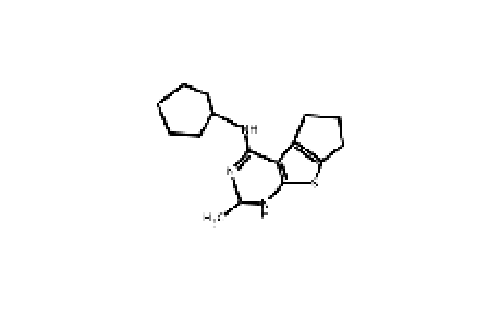 CC1N=C(NC2CCCCC2)c2c(sc3c2CCC3)N1